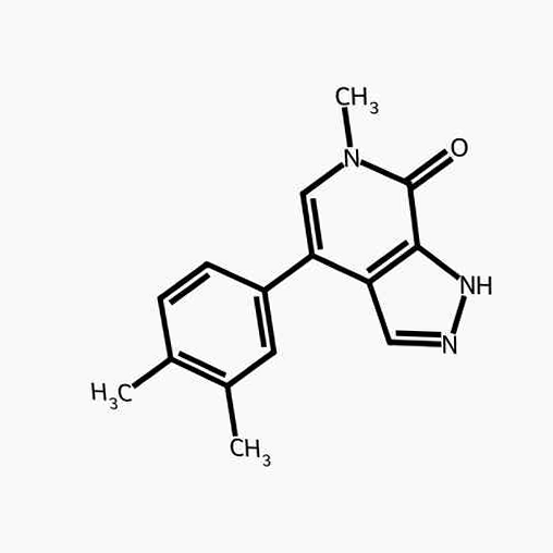 Cc1ccc(-c2cn(C)c(=O)c3[nH]ncc23)cc1C